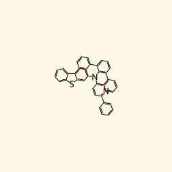 c1ccc(-c2ccc(N(c3ccc4c(c3)sc3ccccc34)c3c(-c4ccccc4)cccc3-c3ccccc3)cn2)cc1